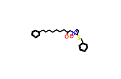 O=C(CCCCCCCc1ccccc1)C[N+]1([O-])CCC1SCc1ccccc1